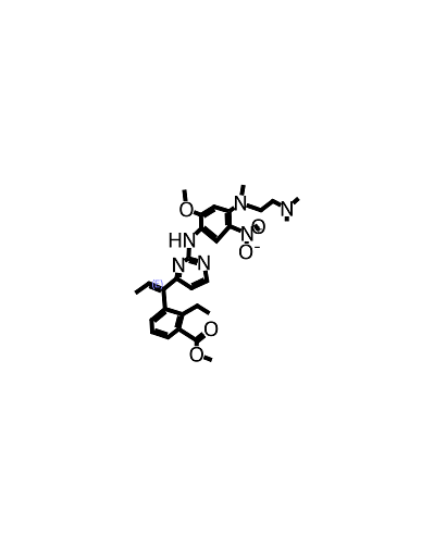 C/C=C(/c1ccnc(Nc2cc([N+](=O)[O-])c(N(C)CCN(C)C)cc2OC)n1)c1cccc(C(=O)OC)c1CC